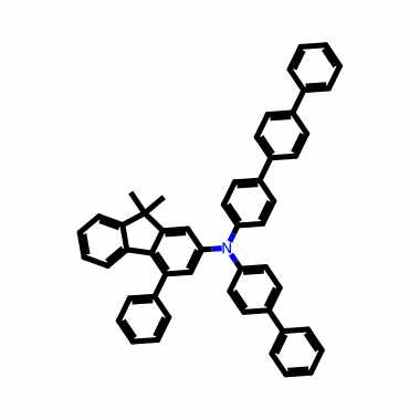 CC1(C)c2ccccc2-c2c(-c3ccccc3)cc(N(c3ccc(-c4ccccc4)cc3)c3ccc(-c4ccc(-c5ccccc5)cc4)cc3)cc21